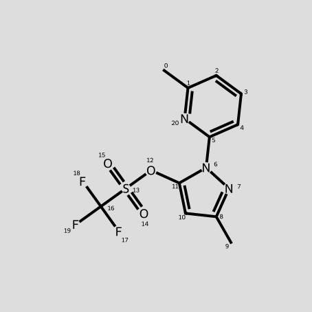 Cc1cccc(-n2nc(C)cc2OS(=O)(=O)C(F)(F)F)n1